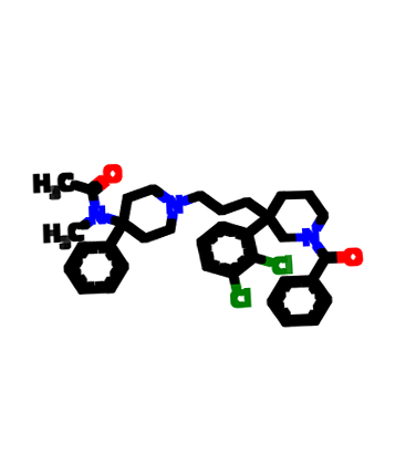 CC(=O)N(C)C1(c2ccccc2)CCN(CCCC2(c3cccc(Cl)c3Cl)CCCN(C(=O)c3ccccc3)C2)CC1